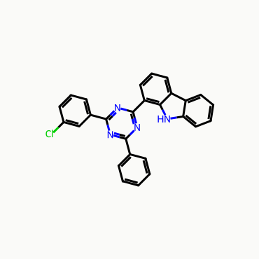 Clc1cccc(-c2nc(-c3ccccc3)nc(-c3cccc4c3[nH]c3ccccc34)n2)c1